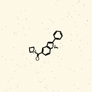 Cn1c(-c2ccccc2)cc2cc(C(=O)N3CCC3)ccc21